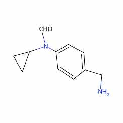 NCc1ccc(N(C=O)C2CC2)cc1